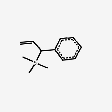 C=CC(c1ccccc1)[Si](C)(C)C